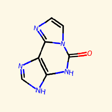 O=c1[nH]c2[nH]cnc2c2nccn12